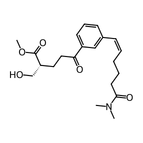 COC(=O)[C@@H](CO)CCC(=O)c1cccc(/C=C\CCCC(=O)N(C)C)c1